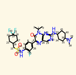 CC(C)n1c(=O)c(-c2ccc(NS(=O)(=O)CC3CCC(F)(F)CC3)c(F)c2)nc2cnc(NC3CCC(N(C)C)CC3)nc21